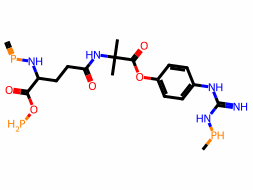 C=PNC(CCC(=O)NC(C)(C)C(=O)Oc1ccc(NC(=N)NPC)cc1)C(=O)OP